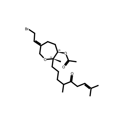 CC(=O)O[C@@H]1CCC(=CCBr)CO[C@@]1(C)CCCC(C)C(=O)CC=C(C)C